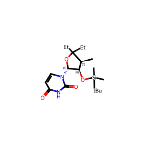 CCC1(CC)O[C@@H](n2ccc(=O)[nH]c2=O)[C@H](O[Si](C)(C)C(C)(C)C)[C@@H]1C